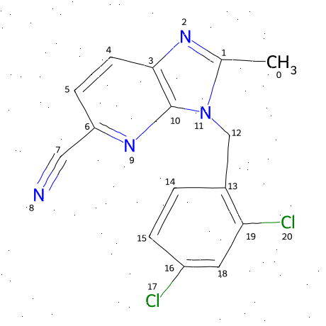 Cc1nc2ccc(C#N)nc2n1Cc1ccc(Cl)cc1Cl